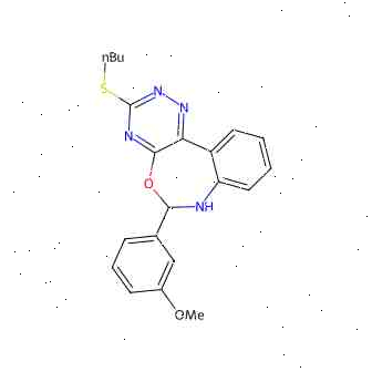 CCCCSc1nnc2c(n1)OC(c1cccc(OC)c1)Nc1ccccc1-2